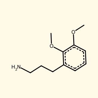 COc1cccc(CCCN)c1OC